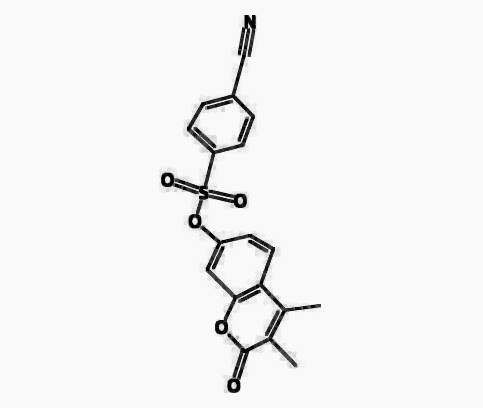 Cc1c(C)c2ccc(OS(=O)(=O)c3ccc(C#N)cc3)cc2oc1=O